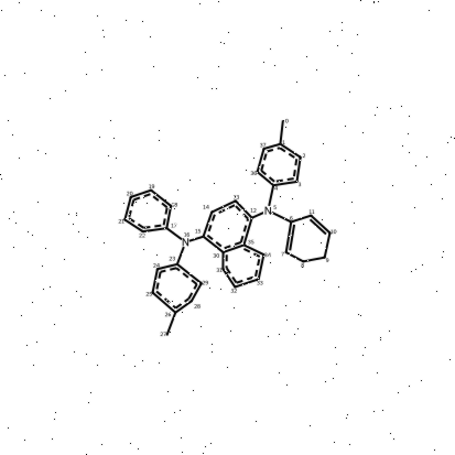 Cc1ccc(N(C2=CCCC=C2)c2ccc(N(c3ccccc3)c3ccc(C)cc3)c3ccccc23)cc1